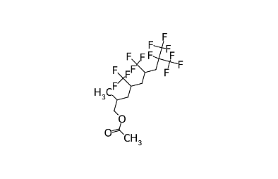 CC(=O)OCC(C)CC(CC(CC(F)(C(F)(F)F)C(F)(F)F)C(F)(F)F)C(F)(F)F